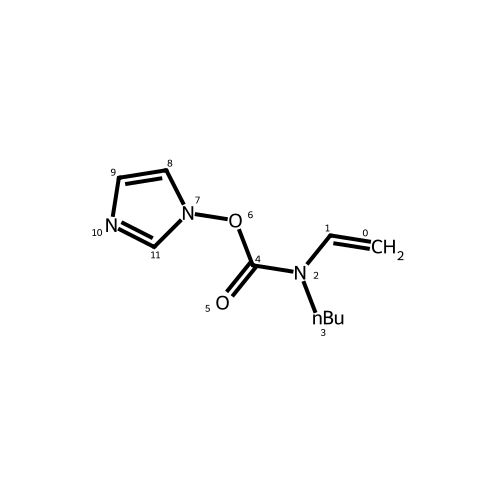 C=CN(CCCC)C(=O)On1ccnc1